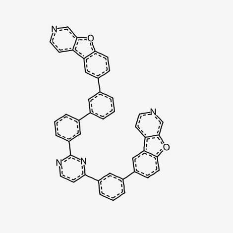 c1cc(-c2cccc(-c3nccc(-c4cccc(-c5ccc6oc7cnccc7c6c5)c4)n3)c2)cc(-c2ccc3oc4cnccc4c3c2)c1